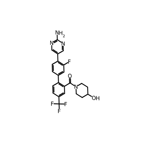 Nc1ncc(-c2ccc(-c3ccc(C(F)(F)F)cc3C(=O)N3CCC(O)CC3)cc2F)cn1